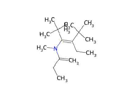 C=C(CC)N(C)/C(=C(\CC)C(C)(C)C)C(C)(C)C